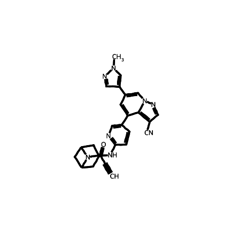 C#CC(=O)N1C2CC(Nc3ccc(-c4cc(-c5cnn(C)c5)cn5ncc(C#N)c45)cn3)CC1C2